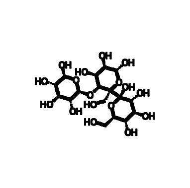 OC[C@H]1O[C@](O)([C@]2(CO)O[C@@H](O)[C@H](O)[C@H](O)[C@@H]2O[C@@H]2O[C@H](O)[C@@H](O)[C@H](O)[C@H]2O)[C@H](O)[C@@H](O)[C@@H]1O